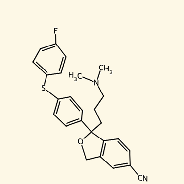 CN(C)CCCC1(c2ccc(Sc3ccc(F)cc3)cc2)OCc2cc(C#N)ccc21